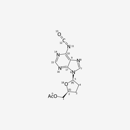 CC(=O)OC[C@@H]1CC[C@H](n2cnc3c(N=C=O)ncnc32)O1